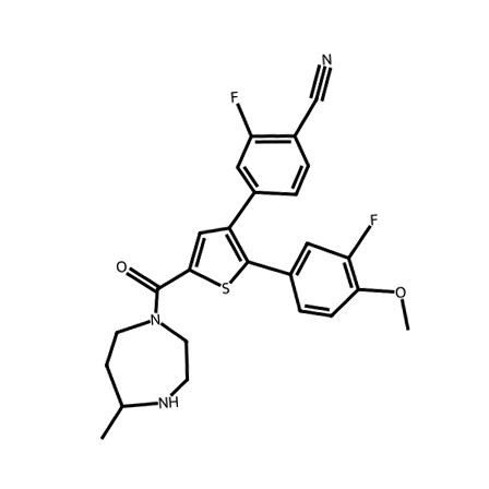 COc1ccc(-c2sc(C(=O)N3CCNC(C)CC3)cc2-c2ccc(C#N)c(F)c2)cc1F